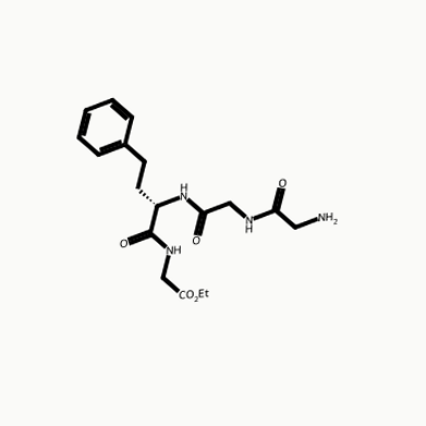 CCOC(=O)CNC(=O)[C@H](CCc1ccccc1)NC(=O)CNC(=O)CN